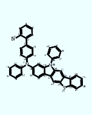 Brc1ccccc1-c1ccc(N(c2ccccc2)c2ccc3c4cc5sc6ccccc6c5cc4n(-c4ccccc4)c3c2)cc1